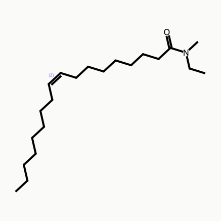 CCCCCCCC/C=C\CCCCCCCC(=O)N(C)CC